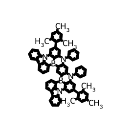 Cc1cc(C)c(-c2cc3c4c(c2)-n2c5ccccc5c5cccc(c52)B4c2cc4c(cc2N3c2ccccc2)N(c2ccccc2)c2cc(-c3c(C)cc(C)cc3C)cc3c2B4c2cccc4c5ccccc5n-3c24)c(C)c1